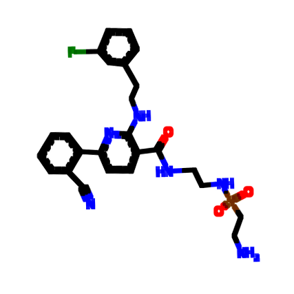 N#Cc1ccccc1-c1ccc(C(=O)NCCNS(=O)(=O)CCN)c(NCCc2cccc(F)c2)n1